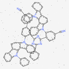 N#Cc1cccc(-c2ccc(-n3c4ccccc4c4c3ccc3c5ccccc5n(-c5ccccc5)c34)c(-c3nc(-c4ccccc4)nc(-c4ccc(C#N)cc4-n4c5ccccc5c5c4ccc4c6ccccc6n(-c6ccccc6)c45)n3)c2)c1